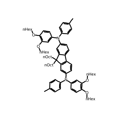 CCCCCCCCC1(CCCCCCCC)c2cc(N(c3ccc(C)cc3)c3ccc(OCCCCCC)c(OCCCCCC)c3)ccc2-c2ccc(N(c3ccc(C)cc3)c3ccc(OCCCCCC)c(OCCCCCC)c3)cc21